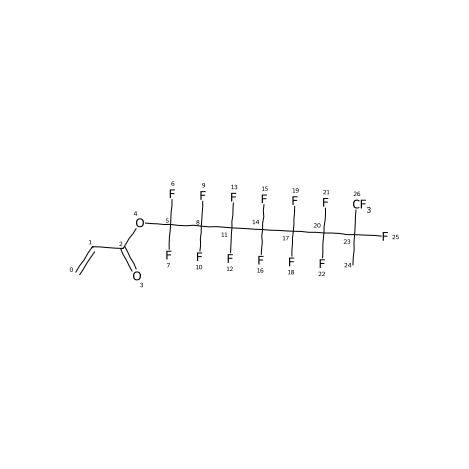 C=CC(=O)OC(F)(F)C(F)(F)C(F)(F)C(F)(F)C(F)(F)C(F)(F)C(C)(F)C(F)(F)F